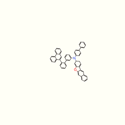 C1=c2oc3cc4ccccc4cc3c2=CCC1N(c1ccc(-c2ccccc2)cc1)c1cccc(-c2ccccc2-c2cc3ccccc3c3ccccc23)c1